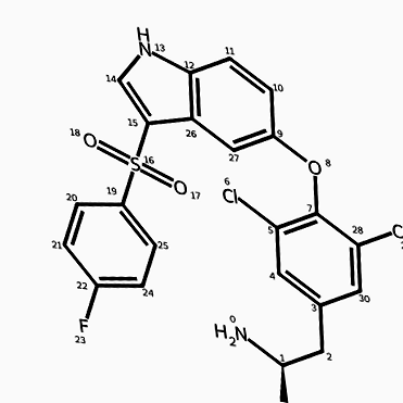 N[C@@H](Cc1cc(Cl)c(Oc2ccc3[nH]cc(S(=O)(=O)c4ccc(F)cc4)c3c2)c(Cl)c1)C(=O)O